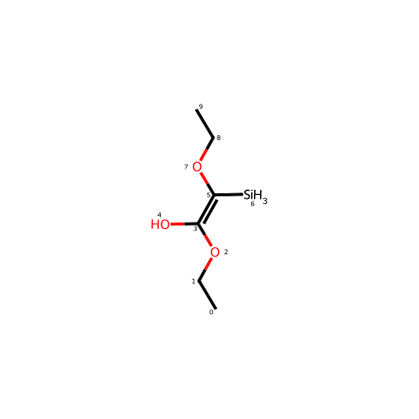 CCOC(O)=C([SiH3])OCC